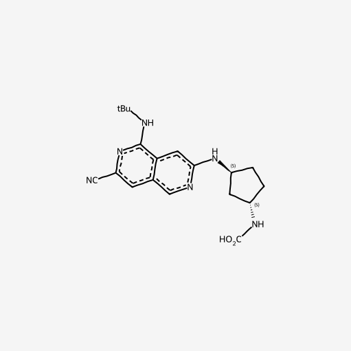 CC(C)(C)Nc1nc(C#N)cc2cnc(N[C@H]3CC[C@H](NC(=O)O)C3)cc12